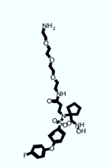 NCCOCCOCCOCCNC(=O)CCN(C1(C(=O)NO)CCCC1)S(=O)(=O)c1ccc(Oc2ccc(F)cc2)cc1